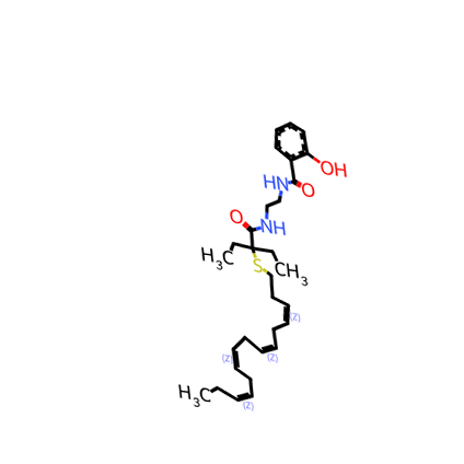 CC/C=C\C/C=C\C/C=C\C/C=C\CCSC(CC)(CC)C(=O)NCCNC(=O)c1ccccc1O